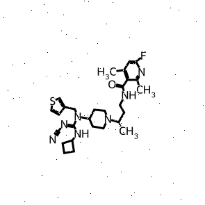 Cc1cc(F)nc(C)c1C(=O)NCC[C@@H](C)N1CCC(N(Cc2ccsc2)/C(=N/C#N)NC2CCC2)CC1